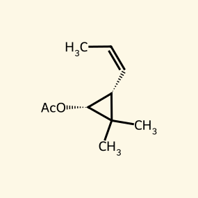 C/C=C\[C@H]1[C@@H](OC(C)=O)C1(C)C